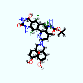 COc1ccc(CN(Cc2ccc(OC)cc2)c2cc(C)c(C(F)(F)F)c(-c3c(CCNC(=O)OC(C)(C)C)c(F)c4c(=O)[nH]c(=O)[nH]c4c3F)n2)cc1